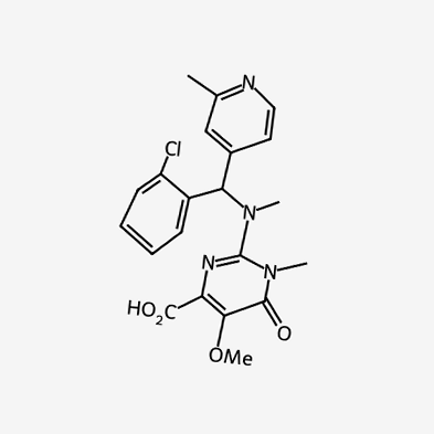 COc1c(C(=O)O)nc(N(C)C(c2ccnc(C)c2)c2ccccc2Cl)n(C)c1=O